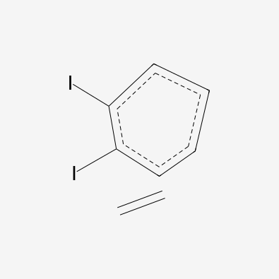 C=C.Ic1ccccc1I